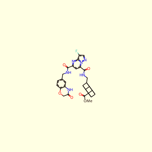 COC(=O)C12C3C4C1C1C2C3C41CNC(=O)c1cc(C(=O)NCc2ccc3c(c2)NC(=O)CO3)nc2c(F)cnn12